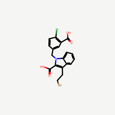 O=C(O)c1cc(Cn2c(C(=O)O)c(CCS)c3ccccc32)ccc1Br